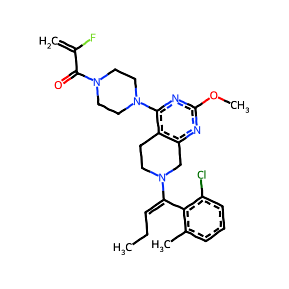 C=C(F)C(=O)N1CCN(c2nc(OC)nc3c2CCN(/C(=C/CC)c2c(C)cccc2Cl)C3)CC1